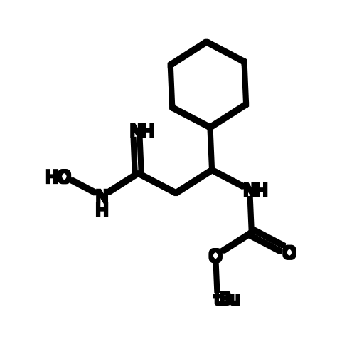 CC(C)(C)OC(=O)NC(CC(=N)NO)C1CCCCC1